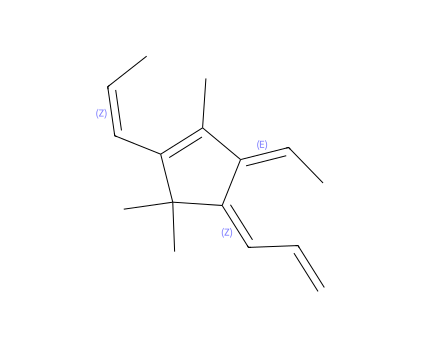 C=C/C=C1\C(=C/C)C(C)=C(/C=C\C)C1(C)C